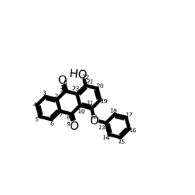 O=C1c2ccccc2C(=O)c2c(Oc3ccccc3)ccc(O)c21